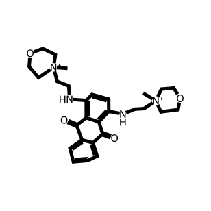 C[N+]1(CCNc2ccc(NCC[N+]3(C)CCOCC3)c3c2C(=O)c2ccccc2C3=O)CCOCC1